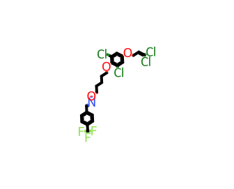 FC(F)(F)c1ccc(C=NOCCCCCOc2c(Cl)cc(OCC=C(Cl)Cl)cc2Cl)cc1